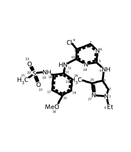 CCN1CC(Nc2ncc(Cl)c(Nc3ccc(OC)cc3NS(C)(=O)=O)n2)C(C)=N1